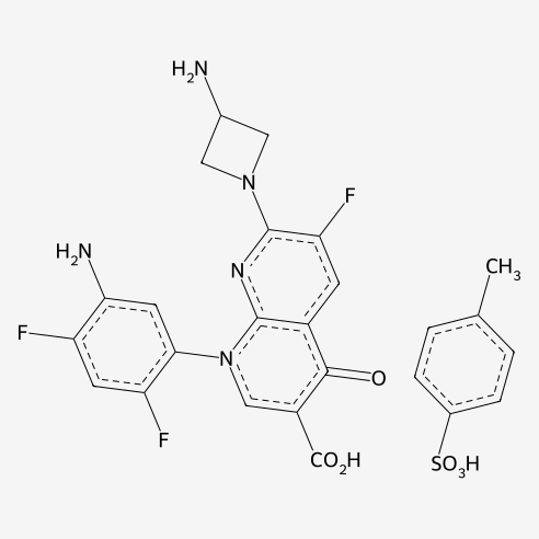 Cc1ccc(S(=O)(=O)O)cc1.Nc1cc(-n2cc(C(=O)O)c(=O)c3cc(F)c(N4CC(N)C4)nc32)c(F)cc1F